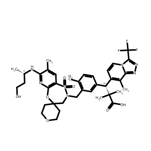 Cc1ccc([C@H](c2ccn3c(C(F)(F)F)nnc3c2C)C(C)(C)C(=O)O)cc1CN1CC2(CCOCC2)Oc2nc(N[C@@H](C)CCO)c(C)cc2S1(=O)=O